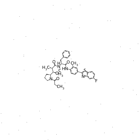 CCC(=O)N1CCC[C@H]1[C@H](OC)[C@@H](C)C(=O)N[C@@H](Cc1ccccc1)C(=O)Nc1ccc(-c2nc3cc(F)ccc3s2)cc1C